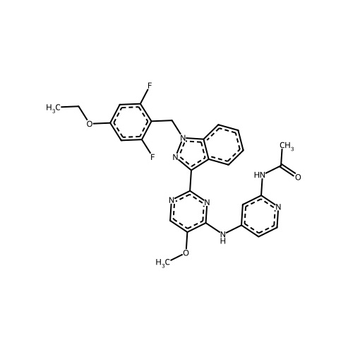 CCOc1cc(F)c(Cn2nc(-c3ncc(OC)c(Nc4ccnc(NC(C)=O)c4)n3)c3ccccc32)c(F)c1